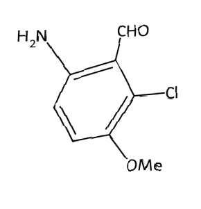 COc1ccc(N)c(C=O)c1Cl